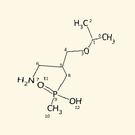 CC(C)OCC(CN)CP(C)(=O)O